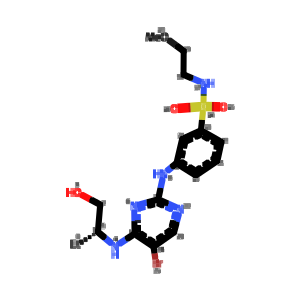 CC[C@H](CO)Nc1nc(Nc2cccc(S(=O)(=O)NCCOC)c2)ncc1Br